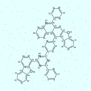 c1ccc(-c2nc(-c3ccc(-c4c5c(cc6c(-c7ccccc7)nc7ccccc7c46)oc4ccccc45)cc3)nc(-c3cccc4c3oc3ccccc34)n2)cc1